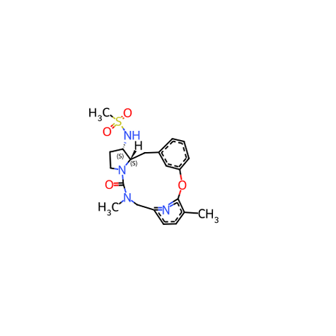 Cc1ccc2nc1Oc1cccc(c1)C[C@H]1[C@@H](NS(C)(=O)=O)CCN1C(=O)N(C)C2